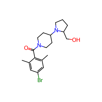 Cc1cc(Br)cc(C)c1C(=O)N1CCC(N2CCCC2CO)CC1